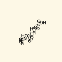 CC(C)C1=C2[C@H]3CC[C@@H]4[C@@]5(C)CC[C@H](OC(=O)[C@H]6C[C@@H](C(=O)O)C6(C)C)C(C)(C)[C@@H]5CC[C@@]4(C)[C@]3(C)CC[C@@]2([C@@H](O)CNCc2cnn3cccnc23)CC1=O